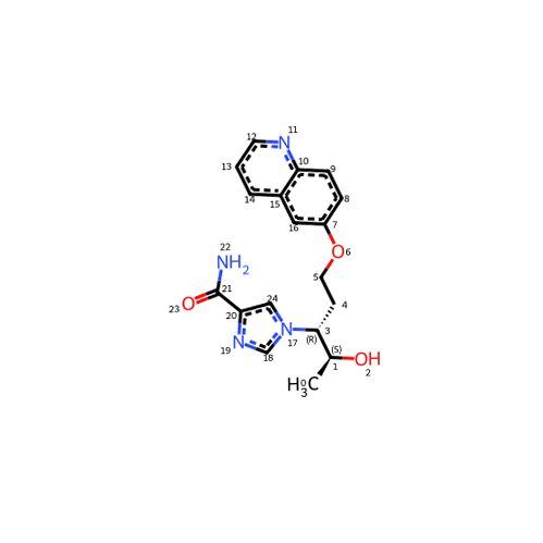 C[C@H](O)[C@@H](CCOc1ccc2ncccc2c1)n1cnc(C(N)=O)c1